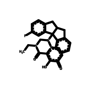 CCN1CN(C23c4ccccc4CC2Cc2ccc(F)cc23)n2ccc(=O)c(O)c2C1=O